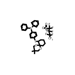 CC1(C)COC2(CCCCC2Sc2ccc([S+](c3ccccc3)c3ccccc3)cc2)OC1.O=S(=O)([O-])C(F)(F)C(F)(F)C(F)(F)C(F)(F)F